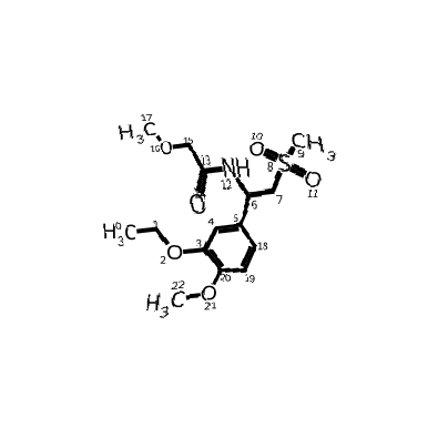 CCOc1cc(C(CS(C)(=O)=O)NC(=O)COC)ccc1OC